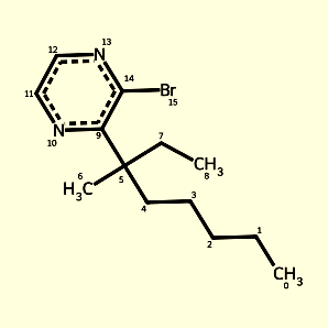 CCCCCC(C)(CC)c1nccnc1Br